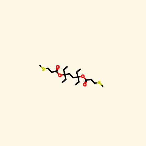 CCC(CC)(CCC(CC)(CC)OC(=O)CCSC)OC(=O)CCSC